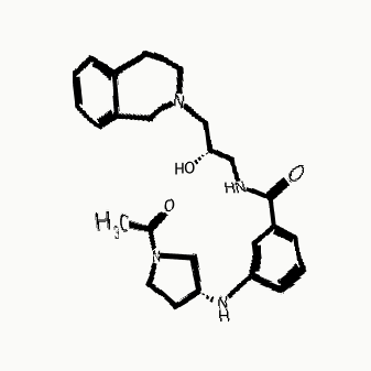 CC(=O)N1CC[C@@H](Nc2cccc(C(=O)NC[C@H](O)CN3CCc4ccccc4C3)c2)C1